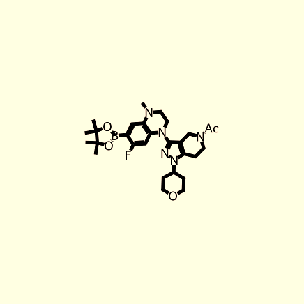 CC(=O)N1CCc2c(c(N3CCN(C)c4cc(B5OC(C)(C)C(C)(C)O5)c(F)cc43)nn2C2CCOCC2)C1